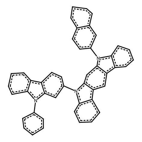 c1ccc(-n2c3ccccc3c3ccc(-n4c5ccccc5c5cc6c7ccccc7n(-c7ccc8ccccc8c7)c6cc54)cc32)cc1